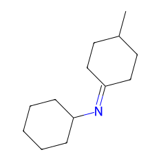 CC1CCC(=NC2CCCCC2)CC1